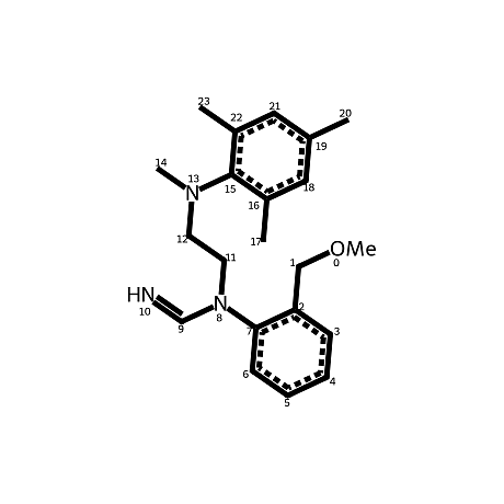 COCc1ccccc1N(C=N)CCN(C)c1c(C)cc(C)cc1C